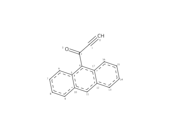 C#CC(=O)c1c2ccccc2cc2ccccc12